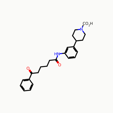 O=C(CCCCC(=O)c1ccccc1)Nc1cccc(C2CCN(C(=O)O)CC2)c1